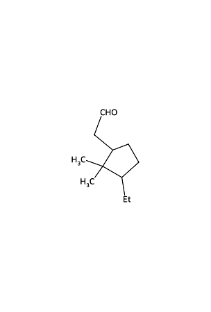 CCC1CCC(CC=O)C1(C)C